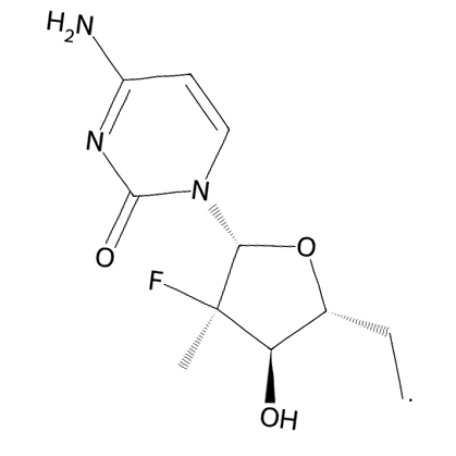 [CH2]C[C@H]1O[C@@H](n2ccc(N)nc2=O)[C@](C)(F)[C@@H]1O